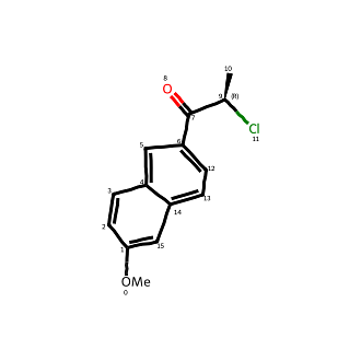 COc1ccc2cc(C(=O)[C@@H](C)Cl)ccc2c1